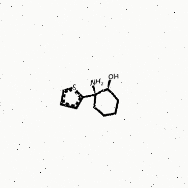 N[C@]1(c2cccs2)CCCC[C@@H]1O